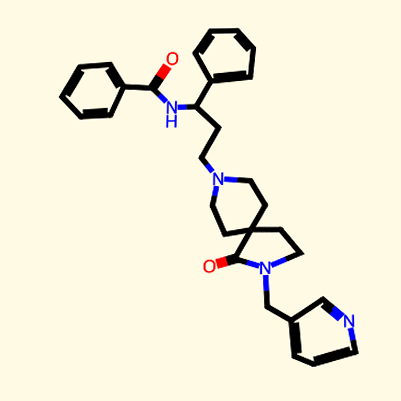 O=C(NC(CCN1CCC2(CC1)CCN(Cc1cccnc1)C2=O)c1ccccc1)c1ccccc1